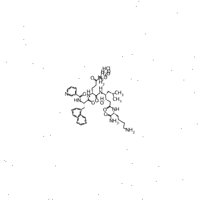 CC(C)C[C@H](NC(=O)[C@H](CCC(N)=O)NC(=O)[C@H](Cc1cccc2ccccc12)NC(=O)c1cccnc1)[C@@H](O)CC(=O)N[C@@H](CCCCN)C(N)=O.Cl.O.O.O